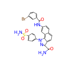 NC(=O)c1nn(-c2ccc(S(N)(=O)=O)cc2)c2c1ccc1ccc(NC(=O)c3cccc(Br)c3)cc12